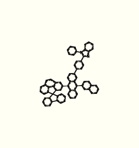 c1ccc(-n2c(-c3ccc(-c4ccc5c(-c6cc7c8c(ccc9cccc(c98)C78c7ccccc7-c7ccccc78)c6)c6ccccc6c(-c6ccc7ccccc7c6)c5c4)cc3)nc3ccccc32)cc1